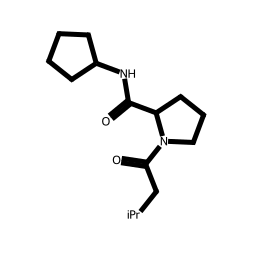 CC(C)CC(=O)N1CCCC1C(=O)NC1CCCC1